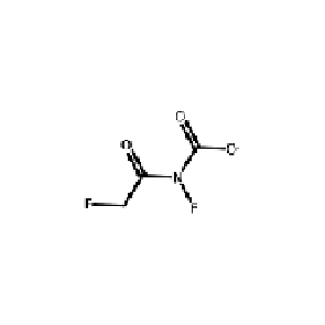 [O]C(=O)N(F)C(=O)CF